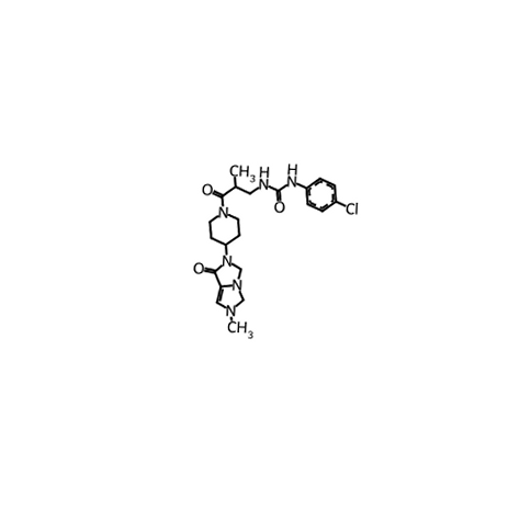 CC(CNC(=O)Nc1ccc(Cl)cc1)C(=O)N1CCC(N2CN3CN(C)C=C3C2=O)CC1